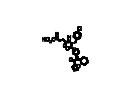 O=C(O)NCCC(=O)N[C@H](Cc1ccc(Cl)cc1)C(=O)N1CC[C@H](N(C(=O)c2ccco2)C2CCCCC2)C1